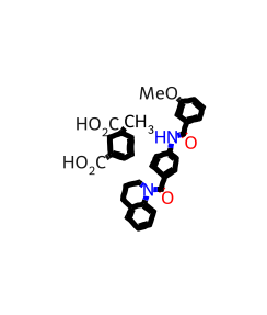 CC1(C(=O)O)C=CC=C(C(=O)O)C1.COc1cccc(C(=O)Nc2ccc(C(=O)N3CCCc4ccccc43)cc2)c1